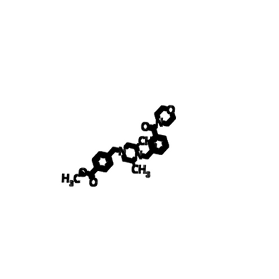 COC(=O)c1ccc(CN2C[C@@H](C)N(Cc3cccc(C(=O)N4CCOCC4)c3)[C@@H](C)C2)cc1